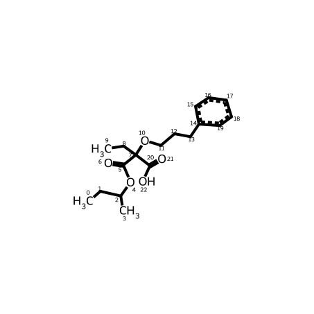 CCC(C)OC(=O)C(CC)(OCCCc1ccccc1)C(=O)O